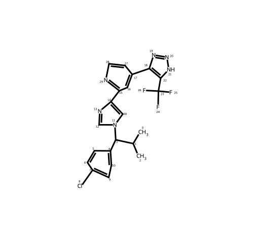 CC(C)C(c1ccc(Cl)cc1)n1cnc(-c2cc(-c3nn[nH]c3C(F)(F)F)ccn2)c1